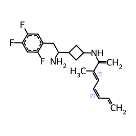 C=C/C=C\C=C(/C)C(=C)NC1CC(C(N)Cc2cc(F)c(F)cc2F)C1